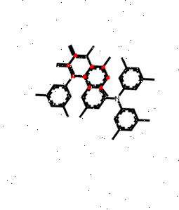 C=C/C=C\c1c(/C(C)=C\C(=C)N(c2cc(C)cc(C)c2)c2cc(C)cc(C)c2)ccc2c(N(c3cc(C)cc(C)c3)c3cc(C)cc(C)c3)cc(C)cc12